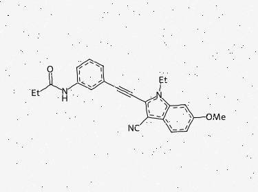 CCC(=O)Nc1cccc(C#Cc2c(C#N)c3ccc(OC)cc3n2CC)c1